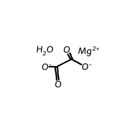 O.O=C([O-])C(=O)[O-].[Mg+2]